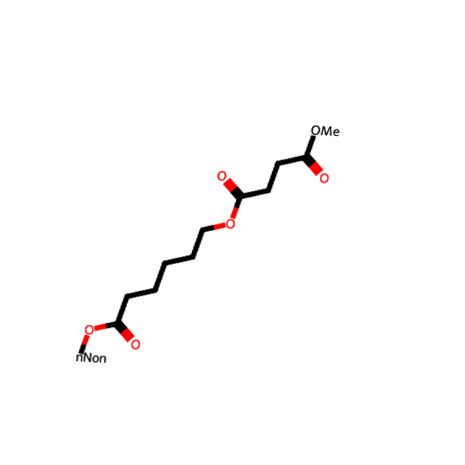 CCCCCCCCCOC(=O)CCCCCOC(=O)CCC(=O)OC